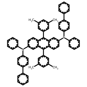 Cc1cc(C)cc(-c2c3ccc(N(c4ccccc4)c4ccc(-c5ccccc5)cc4)cc3c(-c3cc(C)cc(C)c3)c3ccc(N(c4ccccc4)c4ccc(-c5ccccc5)cc4)cc23)c1